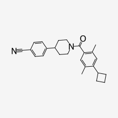 Cc1cc(C2CCC2)c(C)cc1C(=O)N1CCC(c2ccc(C#N)cc2)CC1